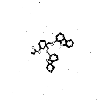 C=CC(=O)OC1=CC=CC(CSc2cccc3c2sc2ccccc23)(CSc2cccc3c2sc2ccccc23)C1